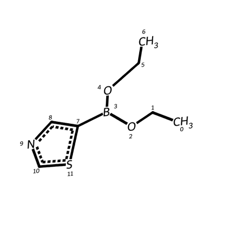 CCOB(OCC)c1cncs1